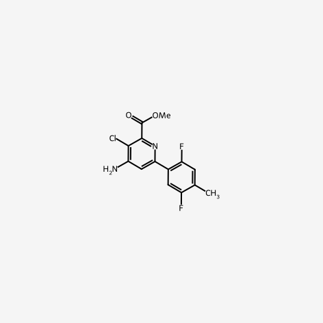 COC(=O)c1nc(-c2cc(F)c(C)cc2F)cc(N)c1Cl